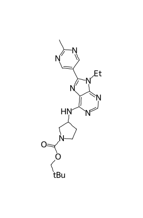 CCn1c(-c2cnc(C)nc2)nc2c(NC3CCN(C(=O)OCC(C)(C)C)C3)ncnc21